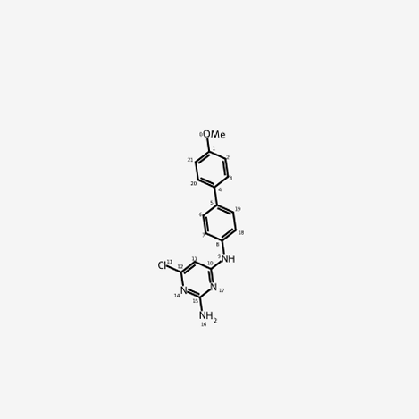 COc1ccc(-c2ccc(Nc3cc(Cl)nc(N)n3)cc2)cc1